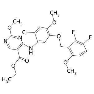 CCOC(=O)c1cnc(OC)nc1Nc1cc(OCc2c(OC)ccc(F)c2F)c(OC)cc1Cl